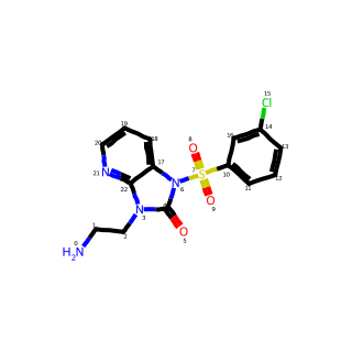 NCCn1c(=O)n(S(=O)(=O)c2cccc(Cl)c2)c2cccnc21